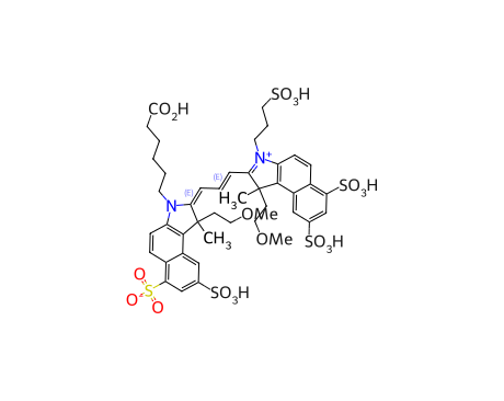 COCCC1(C)C(/C=C/C=C2/N(CCCCCC(=O)O)c3ccc4c(S(=O)(=O)[O-])cc(S(=O)(=O)O)cc4c3C2(C)CCOC)=[N+](CCCS(=O)(=O)O)c2ccc3c(S(=O)(=O)O)cc(S(=O)(=O)O)cc3c21